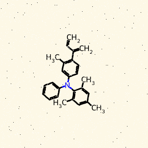 C=CC(=C)c1ccc(N(c2ccccc2)c2c(C)cc(C)cc2C)cc1C